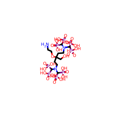 NCCOC(CO)(CCN(C(P(=O)(O)O)P(=O)(O)O)C(P(=O)(O)O)P(=O)(O)O)CCN(C(P(=O)(O)O)P(=O)(O)O)C(P(=O)(O)O)P(=O)(O)O